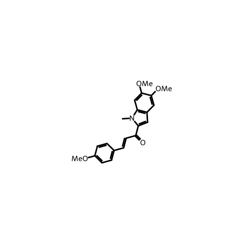 COc1ccc(/C=C/C(=O)c2cc3cc(OC)c(OC)cc3n2C)cc1